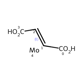 O=C(O)/C=C/C(=O)O.[Mo]